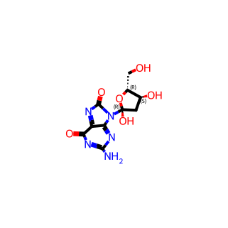 NC1=NC(=O)C2=NC(=O)N([C@@]3(O)C[C@H](O)[C@@H](CO)O3)C2=N1